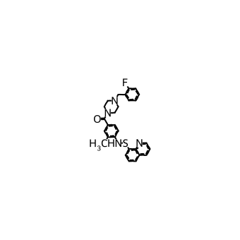 Cc1cc(C(=O)N2CCN(Cc3ccccc3F)CC2)ccc1NSc1cccc2cccnc12